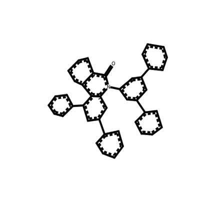 O=c1c2ccccc2c2c(-c3ccccc3)cc(-c3ccccc3)cc2n1-c1cc(-c2ccccc2)cc(-c2ccccc2)c1